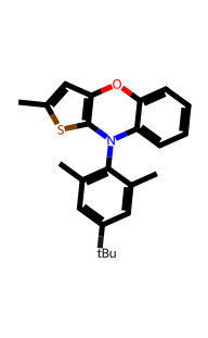 Cc1cc2c(s1)N(c1c(C)cc(C(C)(C)C)cc1C)c1ccccc1O2